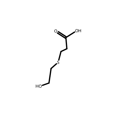 O=C(O)CCSCCO